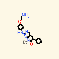 CCn1c(=O)c(-c2ccccc2)cc2cnc(Nc3ccc(OCCN)cc3)nc21